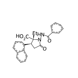 CC[C@]1(C(=O)O)[C@H](c2cccc3ccccc23)CC(=O)N1NC(=O)c1ccccc1